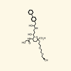 C#CCOCCOCCS[C@]1(C(=O)O)CC[C@@H](NC(=O)CO)[C@H]([C@H](O)CCNC(O)Cc2ccc(-c3ccccc3)cc2)O1